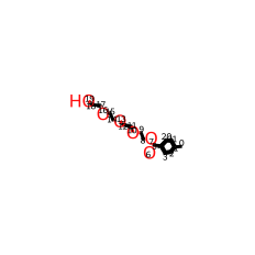 Cc1ccc(C(=O)OCCOCCOCCOCCO)cc1